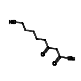 CC(C)(C)C(=O)CC(=O)CCCCCO